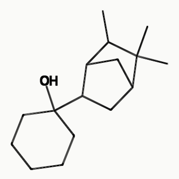 CC1C2CC(CC2C2(O)CCCCC2)C1(C)C